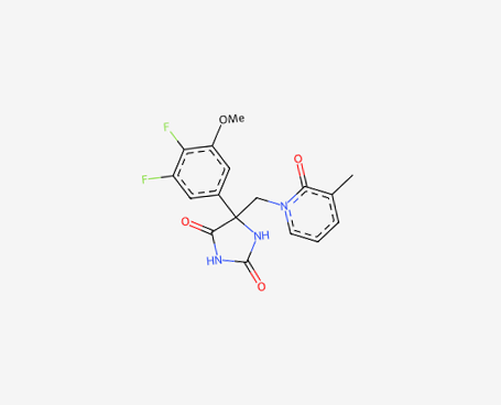 COc1cc(C2(Cn3cccc(C)c3=O)NC(=O)NC2=O)cc(F)c1F